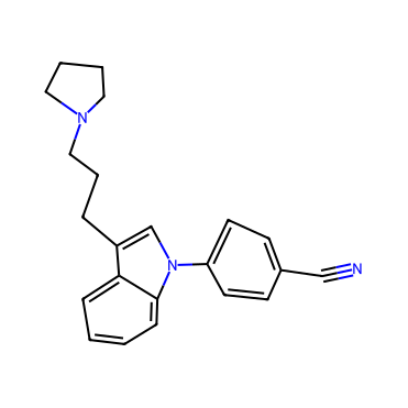 N#Cc1ccc(-n2cc(CCCN3CCCC3)c3ccccc32)cc1